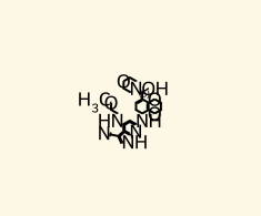 COCCNc1cc(NC2CC=C([C@H](O)N3CCOCC3)C3=C2OCCO3)nc2[nH]cc(C#N)c12